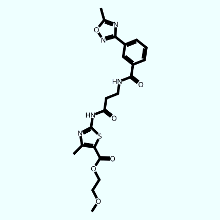 COCCOC(=O)c1sc(NC(=O)CCNC(=O)c2cccc(-c3noc(C)n3)c2)nc1C